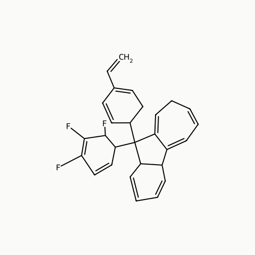 C=CC1=CCC(C2(C3C=CC(F)=C(F)C3F)C3=CCC=CC=C3C3C=CC=CC32)C=C1